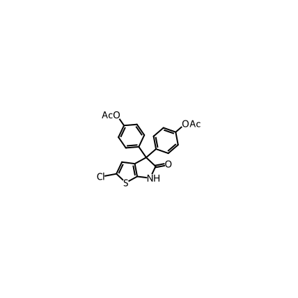 CC(=O)Oc1ccc(C2(c3ccc(OC(C)=O)cc3)C(=O)Nc3sc(Cl)cc32)cc1